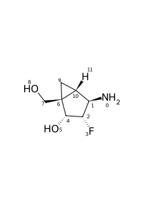 N[C@H]1[C@H](F)[C@H](O)[C@]2(CO)C[C@H]12